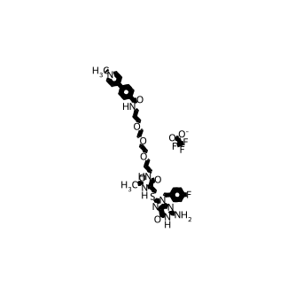 CC(=O)NC(CSc1nc2c(=O)[nH]c(N)nc2n1Cc1ccc(F)cc1)C(=O)NCCCOCCOCCOCCCNC(=O)c1ccc(-c2cc[n+](C)cc2)cc1.O=C([O-])C(F)(F)F